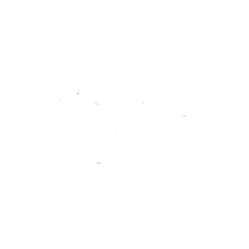 C=CC(CCCc1ccccc1C1CCCC1)S(=O)(=O)O